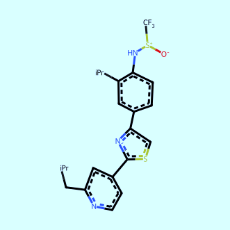 CC(C)Cc1cc(-c2nc(-c3ccc(N[S+]([O-])C(F)(F)F)c(C(C)C)c3)cs2)ccn1